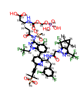 CC(C)(C#Cc1ccc(-c2ccc(Cl)c3c(N(C(=O)CC[C@H](CC(=O)O)NC(=O)OCOP(=O)(O)O)S(C)(=O)=O)nn(CC(F)(F)F)c23)c([C@H](Cc2cc(F)cc(F)c2)NC(=O)Cn2nc(C(F)(F)F)c3c2C(F)(F)[C@@H]2C[C@H]32)n1)S(C)(=O)=O